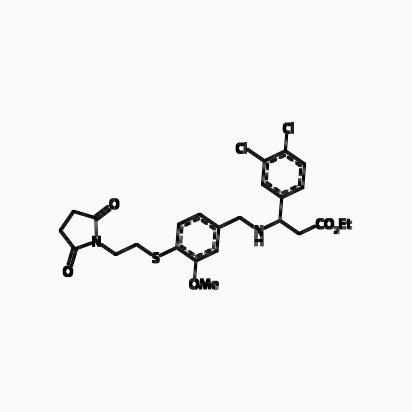 CCOC(=O)CC(NCc1ccc(SCCN2C(=O)CCC2=O)c(OC)c1)c1ccc(Cl)c(Cl)c1